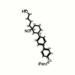 CCCC(C)Oc1ccc(-c2ccc(C3CCCC(C#N)(CCCCO)C3)cc2)cc1